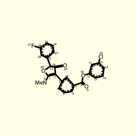 CNC1=C(c2cccc(C(=O)Oc3cccc(Cl)c3)c2)C(=O)C(c2cccc(F)c2)O1